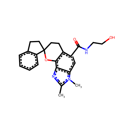 Cc1nc2c3c(c(C(=O)NCCO)cc2n1C)CCC1(CCc2ccccc21)O3